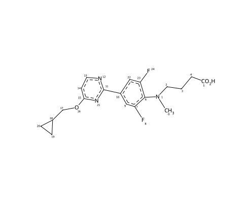 CN(CCCC(=O)O)c1c(F)cc(-c2nccc(OCC3CC3)n2)cc1F